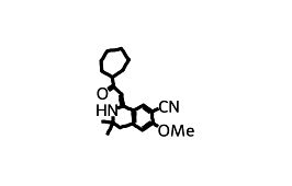 COc1cc2c(cc1C#N)/C(=C/C(=O)C1CCCCCC1)NC(C)(C)C2